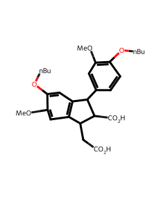 CCCCOc1ccc(C2c3cc(OCCCC)c(OC)cc3C(CC(=O)O)C2C(=O)O)cc1OC